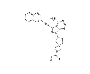 C=CC(=O)N1CC2(CCC(n3nc(C#Cc4ccc5ccccc5c4)c4c(N)ncnc43)C2)C1